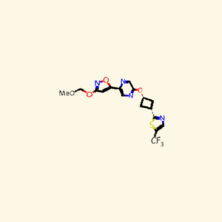 COCOc1cc(-c2cnc(O[C@H]3C[C@@H](c4ncc(C(F)(F)F)s4)C3)cn2)on1